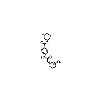 CO[C@@H]1CCCN(CC(=O)Nc2ccc(C(=O)OC3CCCN(C)C3)cc2)C1